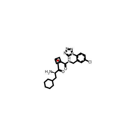 N[C@H](CC1CCCCC1)C(=O)N1CC2CC1(C(=O)NCc1cc(Cl)ccc1-n1cnnn1)C2